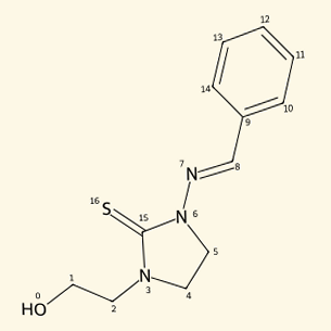 OCCN1CCN(/N=C/c2ccccc2)C1=S